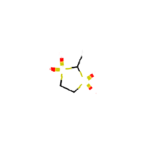 CCC1S(=O)(=O)CCS1(=O)=O